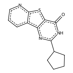 O=c1[nH]c(C2CCCC2)nc2c1sc1ncccc12